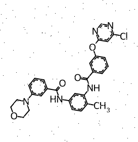 Cc1ccc(NC(=O)c2cccc(N3CCOCC3)c2)cc1NC(=O)c1cccc(Oc2cc(Cl)ncn2)c1